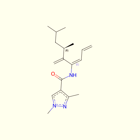 C=C/C=C(/NC(=O)c1cn(C)nc1C)C(=C)[C@H](C)CC(C)C